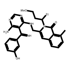 CCC(CCOC)n1c(CNc2ncnc(N)c2C(=N)c2cccc(O)c2)cc2cccc(C)c2c1=O